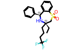 CC[C@]1(CCCC(F)(F)F)CS(=O)(=O)c2ccccc2[C@H](c2ccccc2)N1